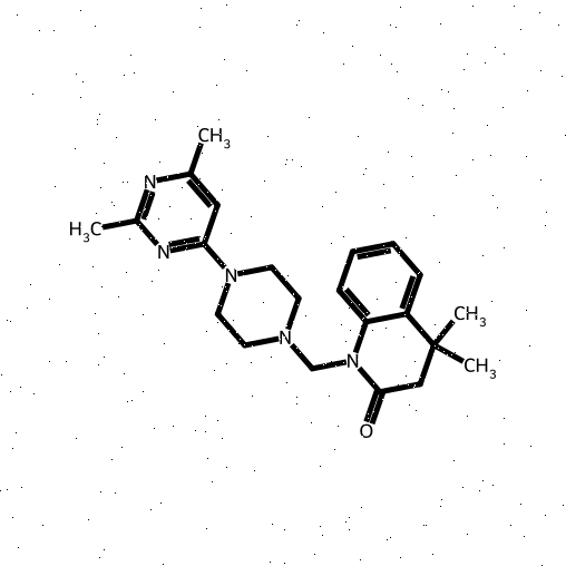 Cc1cc(N2CCN(CN3C(=O)CC(C)(C)c4ccccc43)CC2)nc(C)n1